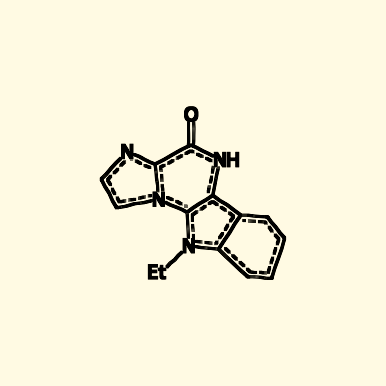 CCn1c2ccccc2c2[nH]c(=O)c3nccn3c21